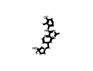 Cc1nc(Nc2cccc(Cl)c2C)c2c(n1)=CC(CN1CC[C@](C)(O)C1)C=CN=2